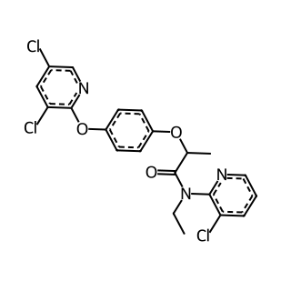 CCN(C(=O)C(C)Oc1ccc(Oc2ncc(Cl)cc2Cl)cc1)c1ncccc1Cl